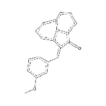 COc1cccc(C=c2c(=O)c3cccc4cccc2c43)c1